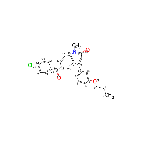 CCCOc1cccc(-c2cc(=O)n(C)c3ccc(C(=O)c4ccc(Cl)cc4)cc23)c1